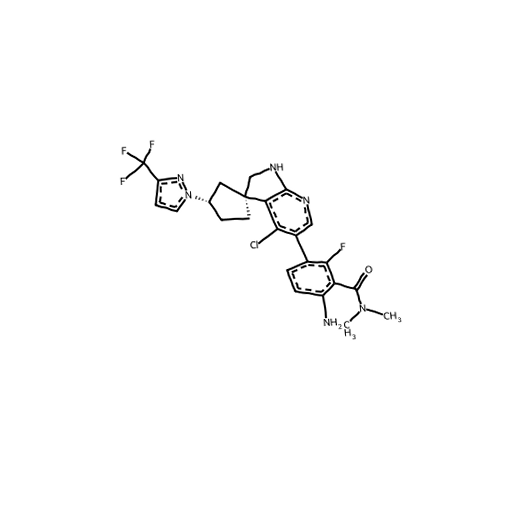 CN(C)C(=O)c1c(N)ccc(-c2cnc3c(c2Cl)[C@]2(CC[C@H](n4ccc(C(F)(F)F)n4)C2)CN3)c1F